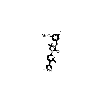 COc1cc(F)cc(CN2C(=O)N(c3ccc(-c4cn[nH]c4)c(C)n3)CC2(C)C)c1